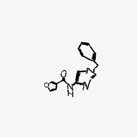 O=C(Nc1cn(Cc2ccccc2)cn1)c1ccoc1